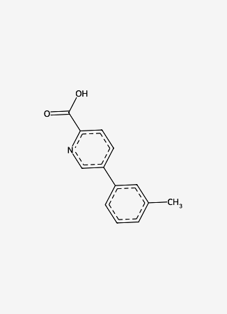 Cc1cccc(-c2ccc(C(=O)O)nc2)c1